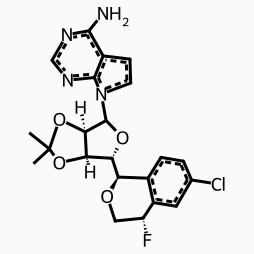 CC1(C)O[C@@H]2[C@@H]([C@@H]3OC[C@@H](F)c4cc(Cl)ccc43)OC(n3ccc4c(N)ncnc43)[C@@H]2O1